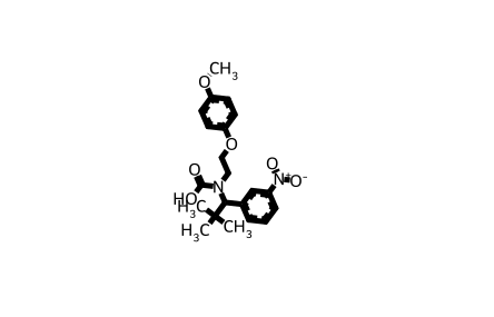 COc1ccc(OCCN(C(=O)O)C(c2cccc([N+](=O)[O-])c2)C(C)(C)C)cc1